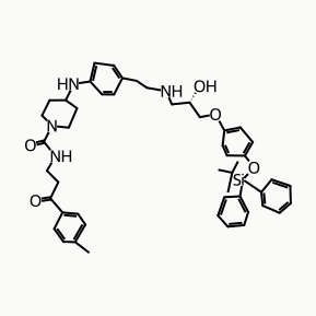 Cc1ccc(C(=O)CCNC(=O)N2CCC(Nc3ccc(CCNC[C@H](O)COc4ccc(O[Si](c5ccccc5)(c5ccccc5)C(C)(C)C)cc4)cc3)CC2)cc1